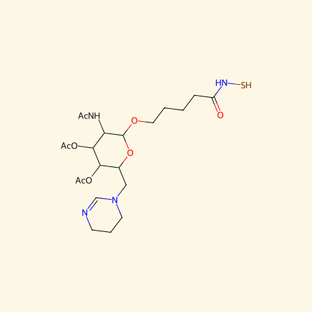 CC(=O)NC1C(OCCCCC(=O)NS)OC(CN2C=NCCC2)C(OC(C)=O)C1OC(C)=O